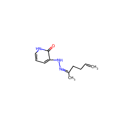 C=CCCC(C)=NNc1ccc[nH]c1=O